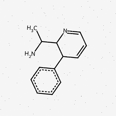 CC(N)C1N=CC=CC1c1ccccc1